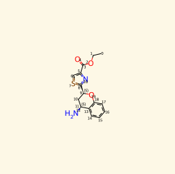 CCOC(=O)c1csc([C@@H]2C[C@H](N)c3ccccc3O2)n1